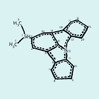 C[SiH](C)c1cc2c3ccccc3n3c4ccccc4c(c1)c23